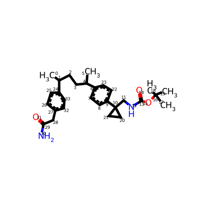 CC(CCC(C)c1ccc(C2(CNC(=O)OC(C)(C)C)CC2)cc1)c1ccc(CC(N)=O)cc1